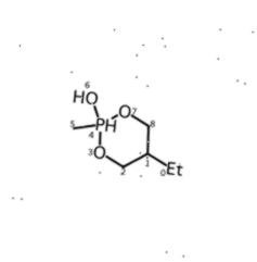 CC[C]1CO[PH](C)(O)OC1